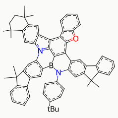 CC(C)(C)c1ccc(N2B3c4cc5c(cc4-n4c6cc7c(cc6c6c8c(oc9ccccc98)c(c3c64)-c3cc4c(cc32)C(C)(C)c2ccccc2-4)C(C)(C)CCC7(C)C)C(C)(C)c2ccccc2-5)cc1